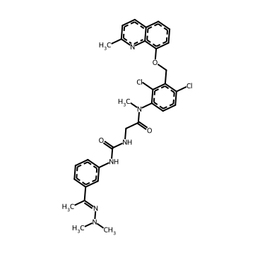 CC(=NN(C)C)c1cccc(NC(=O)NCC(=O)N(C)c2ccc(Cl)c(COc3cccc4ccc(C)nc34)c2Cl)c1